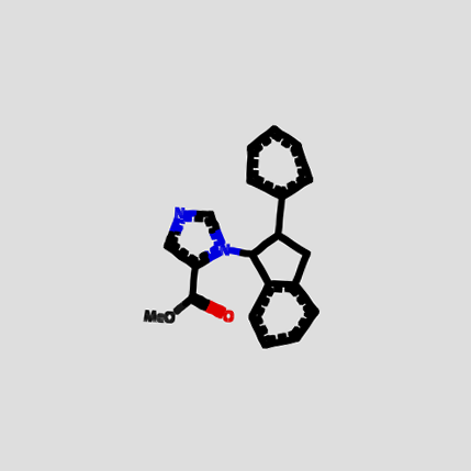 COC(=O)c1cncn1C1c2ccccc2CC1c1ccccc1